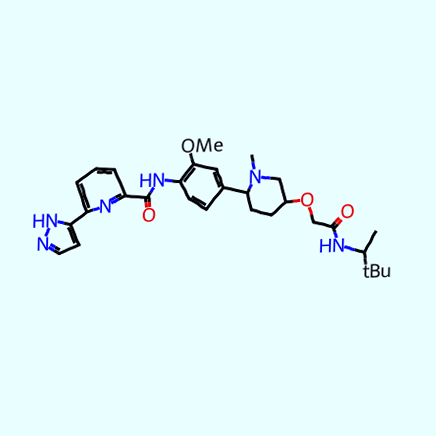 COc1cc(C2CCC(OCC(=O)NC(C)C(C)(C)C)CN2C)ccc1NC(=O)c1cccc(-c2ccn[nH]2)n1